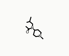 CC(=O)N(CC(C)C)C1CCN(C)CC1